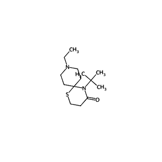 CCN1CCC2(CC1)SCCC(=O)N2C(C)(C)C